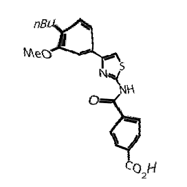 CCCCc1ccc(-c2csc(NC(=O)c3ccc(C(=O)O)cc3)n2)cc1OC